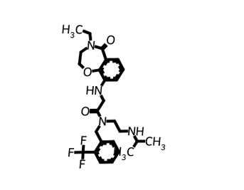 CCN1CCOc2c(NCC(=O)N(CCNC(C)C)Cc3ccccc3C(F)(F)F)cccc2C1=O